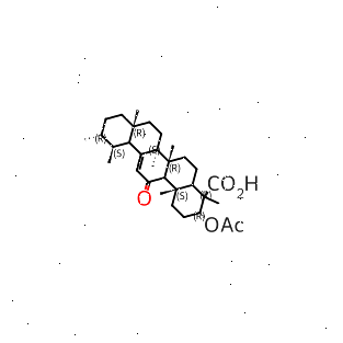 CC(=O)O[C@@H]1CC[C@@]2(C)C(CC[C@]3(C)C2C(=O)C=C2C4[C@@H](C)[C@H](C)CC[C@]4(C)CC[C@]23C)[C@@]1(C)C(=O)O